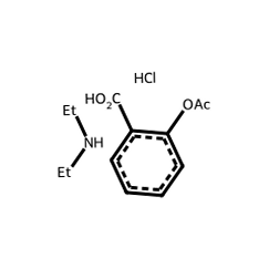 CC(=O)Oc1ccccc1C(=O)O.CCNCC.Cl